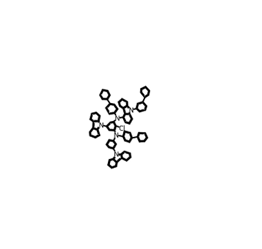 Clc1c(N(c2ccc(-c3ccccc3)cc2)c2cccc(-n3c4ccccc4c4ccccc43)c2)cc(-n2c3ccccc3c3ccccc32)cc1N(c1ccc(-c2ccccc2)cc1)c1cccc2c1c1ccccc1n2-c1cccc(-c2ccccc2)c1